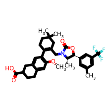 COc1cc2c(cc1C1=C(CN3C(=O)O[C@H](c4cc(C)cc(C(F)(F)F)c4)[C@@H]3C)CC(C)(C)CC1)CC(C(=O)O)CC2